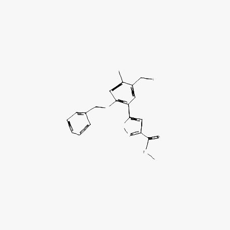 CCNC(=O)c1cc(-c2cc(CC(C)C)c(C)cc2OCc2ccccc2)on1